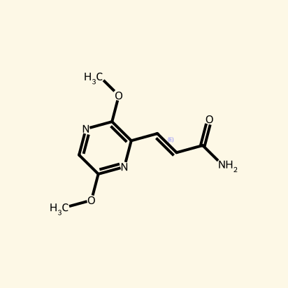 COc1cnc(OC)c(/C=C/C(N)=O)n1